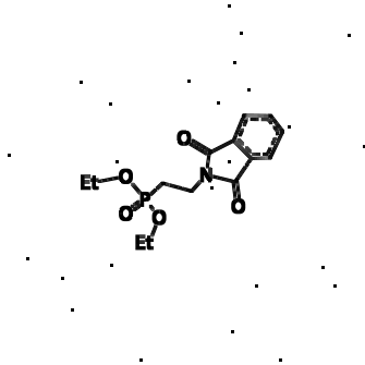 CCOP(=O)(CCN1C(=O)c2ccccc2C1=O)OCC